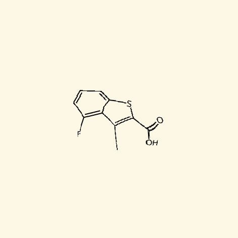 O=C(O)c1sc2cccc(F)c2c1I